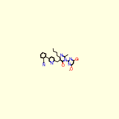 CCCCc1nc(C)n(-c2nc(OC)cc(OC)n2)c(=O)c1Cc1ccc(-c2ccccc2C#N)cn1